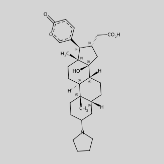 C[C@]12CCC(N3CCCC3)C[C@H]1CC[C@@H]1[C@@H]2CC[C@]2(C)[C@@H](c3ccc(=O)oc3)[C@H](CC(=O)O)C[C@]12O